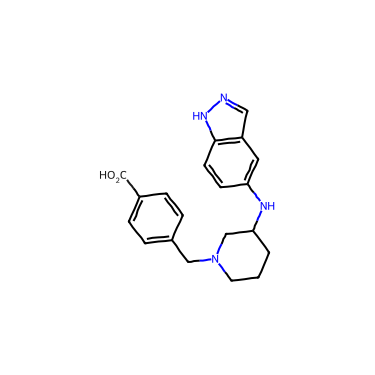 O=C(O)c1ccc(CN2CCCC(Nc3ccc4[nH]ncc4c3)C2)cc1